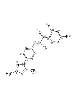 Cc1cc(C(F)(F)F)n(-c2ccc(/C=C(\C#N)C(=O)c3ccc(F)cc3F)cc2)n1